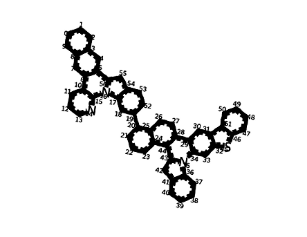 c1ccc2cc3c(cc2c1)c1cccnc1n1c2cc(-c4cccc5c4ccc4c6cc7c(cc6n6c8ccccc8cc6c54)sc4ccccc47)ccc2cc31